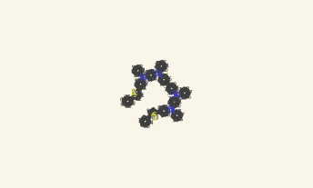 c1ccc(-c2ccc(-c3ccc(N(c4ccccc4)c4ccc(N(c5ccccc5)c5ccc(-c6ccc(N(c7ccccc7)c7ccc(N(c8ccccc8)c8ccc(-c9ccc(-c%10ccccc%10)s9)cc8)cc7)cc6)cc5)cc4)cc3)s2)cc1